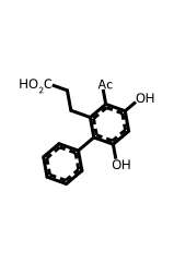 CC(=O)c1c(O)cc(O)c(-c2ccccc2)c1CCC(=O)O